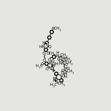 COc1ccc(-c2ccc(C3=CN4C(=O)c5cc(OC)c(OCCCOc6cc7c(cc6OC)C(=O)N6CC8(CC8)C[C@H]6C(O)N7C(=O)OCc6ccc(NC(=O)[C@H](C)NC(=O)[C@@H](NC(=O)CNC(=O)C(C)NC(=O)OC7Cc8ccccc8-c8nnn(C(C)C)c8-c8ccccc87)C(C)C)cc6)cc5NC[C@@H]4C3)cc2)cc1